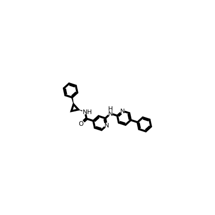 O=C(N[C@@H]1C[C@H]1c1ccccc1)c1ccnc(Nc2ccc(-c3ccccc3)cn2)c1